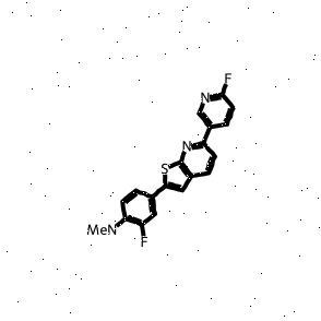 CNc1ccc(-c2cc3ccc(-c4ccc(F)nc4)nc3s2)cc1F